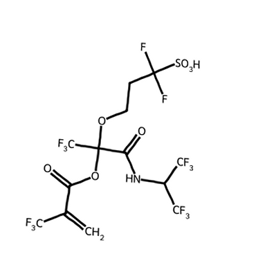 C=C(C(=O)OC(OCCC(F)(F)S(=O)(=O)O)(C(=O)NC(C(F)(F)F)C(F)(F)F)C(F)(F)F)C(F)(F)F